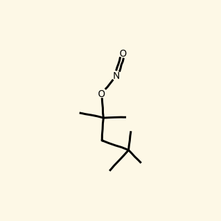 CC(C)(C)CC(C)(C)ON=O